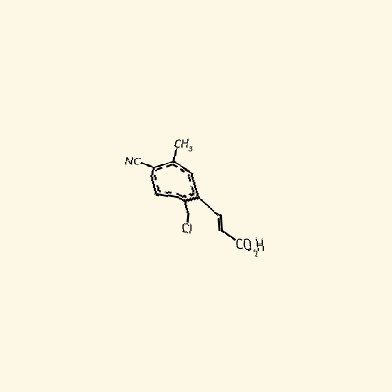 Cc1cc(/C=C/C(=O)O)c(Cl)cc1C#N